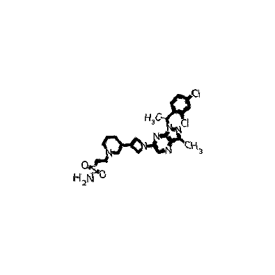 Cc1nn([C@H](C)c2ccc(Cl)cc2Cl)c2nc(N3CC(C4CCCN(CCS(N)(=O)=O)C4)C3)cnc12